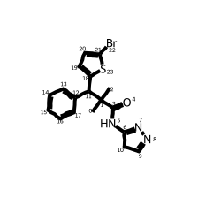 CC(C)(C(=O)NC1=NN=CC1)C(c1ccccc1)c1ccc(Br)s1